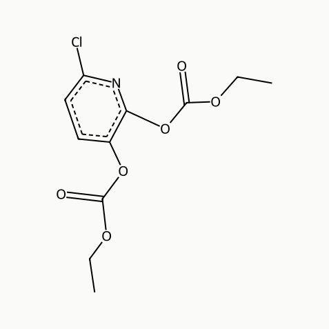 CCOC(=O)Oc1ccc(Cl)nc1OC(=O)OCC